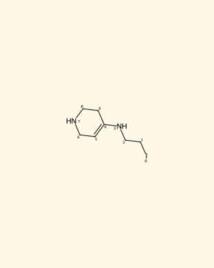 ICCNC1=CCNCC1